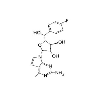 Cc1nc(N)nc2c1ccn2[C@@H]1O[C@H](C(O)c2ccc(F)cc2)[C@@H](O)C1O